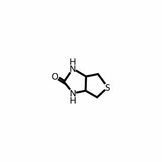 O=C1NC2CSCC2N1